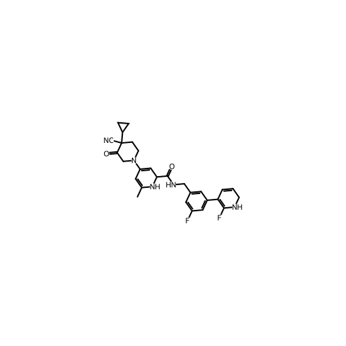 CC1=CC(N2CCC(C#N)(C3CC3)C(=O)C2)=CC(C(=O)NCc2cc(F)cc(C3=C(F)NCC=C3)c2)N1